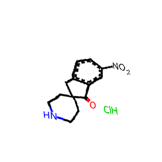 Cl.O=C1c2cc([N+](=O)[O-])ccc2CC12CCNCC2